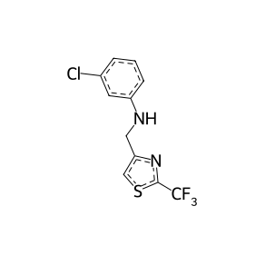 FC(F)(F)c1nc(CNc2cccc(Cl)c2)cs1